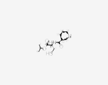 CC(C)OC(=O)[C@H](CS)NC(=O)c1cccnc1